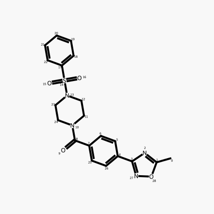 Cc1nc(-c2ccc(C(=O)N3CCN(S(=O)(=O)c4ccccc4)CC3)cc2)no1